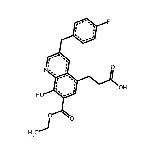 CCOC(=O)c1cc(CCC(=O)O)c2cc(Cc3ccc(F)cc3)cnc2c1O